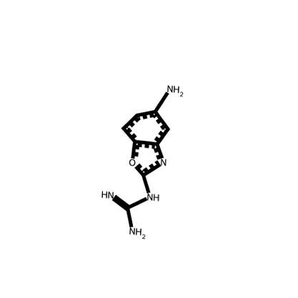 N=C(N)Nc1nc2cc(N)ccc2o1